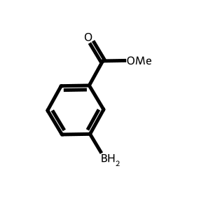 Bc1cccc(C(=O)OC)c1